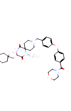 CCCCN1C(=O)[C@@H](CC2(O)CCCCC2)NC(=O)C12CCN(Cc1ccc(Oc3ccc(C(=O)N4CCOCC4)cc3)cc1)CC2